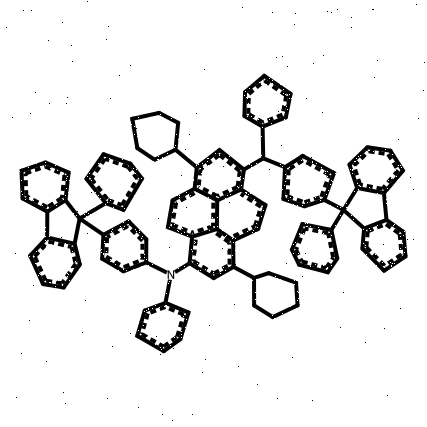 c1ccc(C(c2ccc(C3(c4ccccc4)c4ccccc4-c4ccccc43)cc2)c2cc(C3CCCCC3)c3ccc4c(N(c5ccccc5)c5ccc(C6(c7ccccc7)c7ccccc7-c7ccccc76)cc5)cc(C5CCCCC5)c5ccc2c3c54)cc1